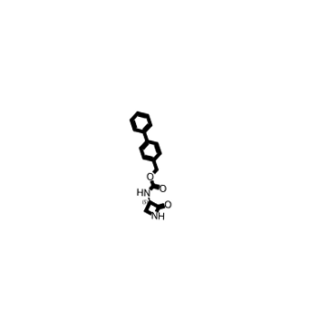 O=C(N[C@H]1CNC1=O)OCc1ccc(-c2ccccc2)cc1